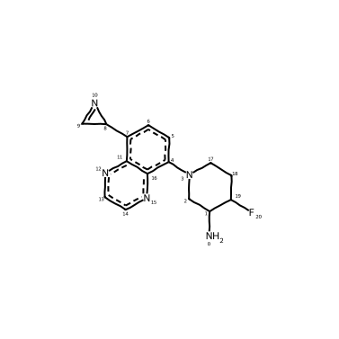 NC1CN(c2ccc(C3C=N3)c3nccnc23)CCC1F